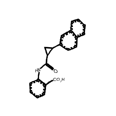 O=C(O)c1ccccc1NC(=O)C1CC1c1ccc2ccccc2c1